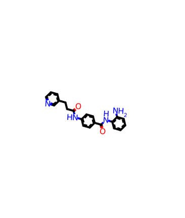 Nc1ccccc1NC(=O)c1ccc(NC(=O)CCc2cccnc2)cc1